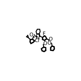 O=C(OCc1ccccc1)c1cc(F)c(-c2nn(C(=O)c3c(Cl)cccc3C3CC3)c3c2CCCC3)cc1OCc1ccccc1